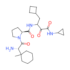 CC1([C@H](N)C(=O)N2CCC[C@H]2C(=O)NC(CC2CCC2)C(=O)C(=O)NC2CC2)CCCCC1